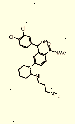 CCCC(c1ccc(Cl)c(Cl)c1)c1cc(N2CCCCC2NCCCN)ccc1C(=O)NC